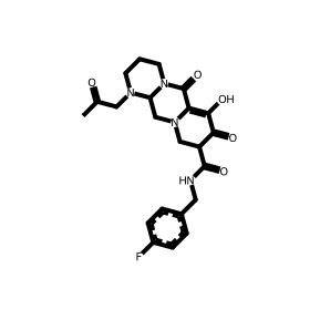 CC(=O)CN1CCCN2C(=O)C3=C(O)C(=O)C(C(=O)NCc4ccc(F)cc4)CN3CC12